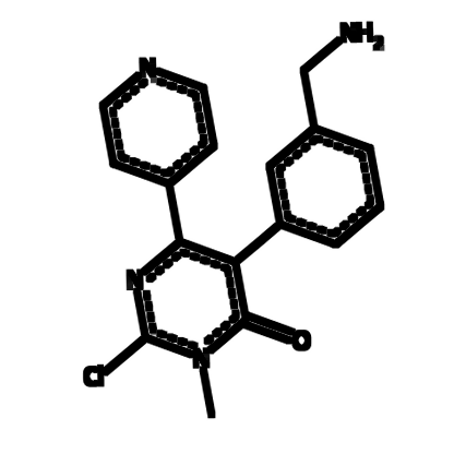 Cn1c(Cl)nc(-c2ccncc2)c(-c2cccc(CN)c2)c1=O